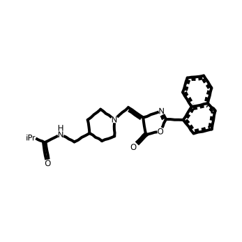 CC(C)C(=O)NCC1CCN(/C=C2/N=C(c3cccc4ccccc34)OC2=O)CC1